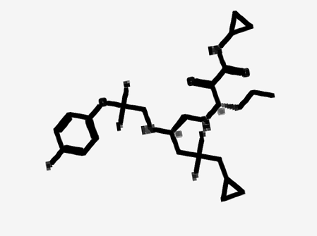 CCC[C@H](NC[C@@H](CC(F)(F)CC1CC1)NCC(F)(F)Oc1ccc(F)cc1)C(=O)C(=O)NC1CC1